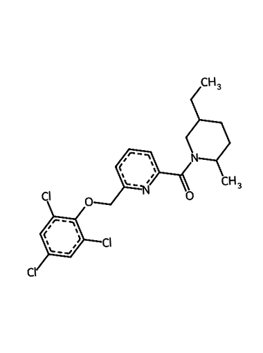 CCC1CCC(C)N(C(=O)c2cccc(COc3c(Cl)cc(Cl)cc3Cl)n2)C1